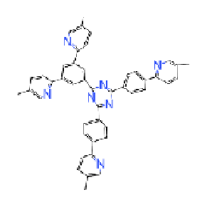 Cc1ccc(-c2ccc(-c3nc(-c4ccc(-c5ccc(C)cn5)cc4)nc(-c4cc(-c5ccc(C)cn5)cc(-c5ccc(C)cn5)c4)n3)cc2)nc1